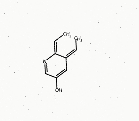 C/C=c1/cc(O)cn/c1=C/C